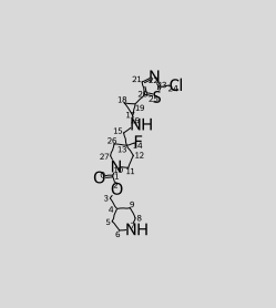 O=C(OCC1CCNCC1)N1CCC(F)(CNC2CC2c2cnc(Cl)s2)CC1